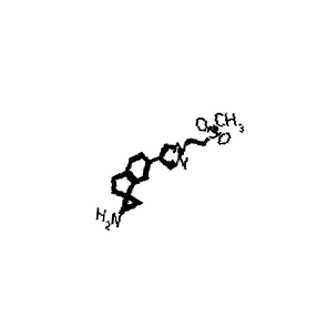 CS(=O)(=O)CCn1cc(-c2ccc3c(c2)C2(CC3)CC2N)cn1